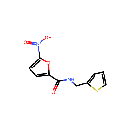 O=C(NCc1cccs1)c1ccc([N+](=O)O)o1